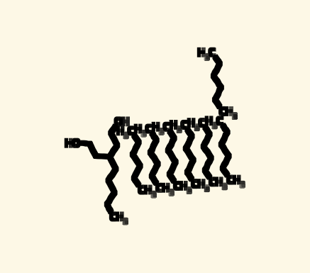 CCCCCC.CCCCCC.CCCCCC.CCCCCC.CCCCCC.CCCCCC.CCCCCC.CCCCCC(CCO)CCO